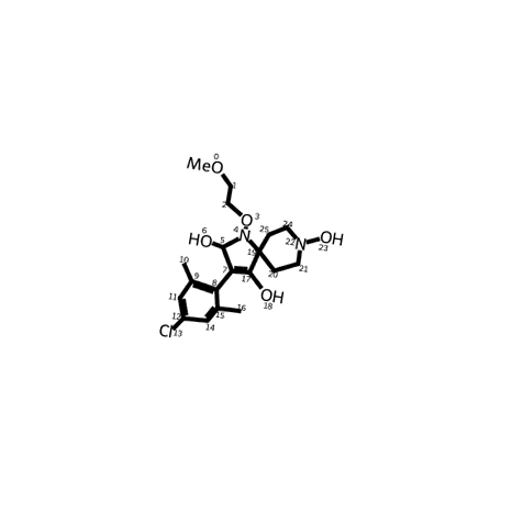 COCCON1C(O)C(c2c(C)cc(Cl)cc2C)=C(O)C12CCN(O)CC2